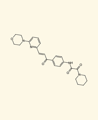 O=C(Nc1ccc(C(=O)C=Cc2cccc(N3CCOCC3)n2)cc1)C(=O)N1CCCCC1